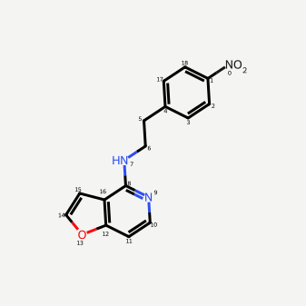 O=[N+]([O-])c1ccc(CCNc2nccc3occc23)cc1